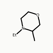 CCN1CCOC[C]1C